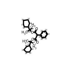 CC(C)(OC(=O)C(C(=O)OC(C)(C)C1CCCCC1)c1ccccc1)C1CCCCC1